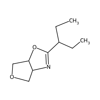 CCC(CC)C1=NC2COCC2O1